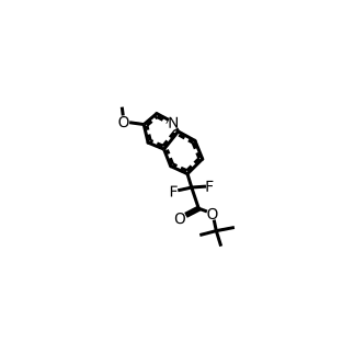 COc1cnc2ccc(C(F)(F)C(=O)OC(C)(C)C)cc2c1